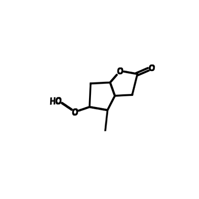 CC1C(OO)CC2OC(=O)CC21